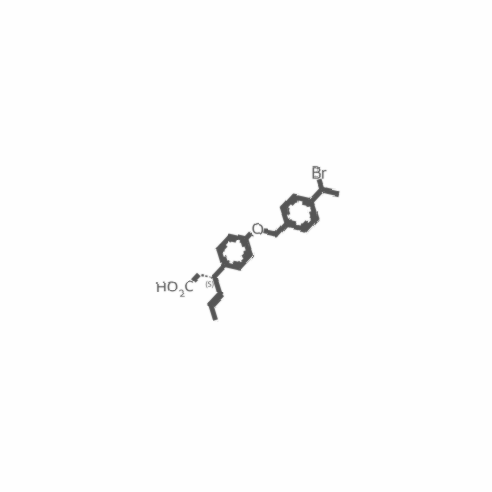 CC=C[C@H](CC(=O)O)c1ccc(OCc2ccc(C(C)Br)cc2)cc1